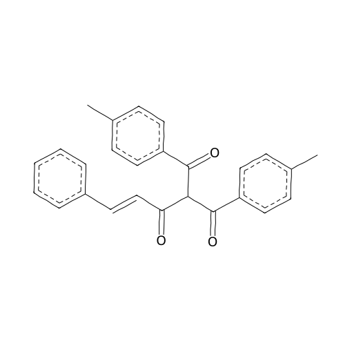 Cc1ccc(C(=O)C(C(=O)/C=C/c2ccccc2)C(=O)c2ccc(C)cc2)cc1